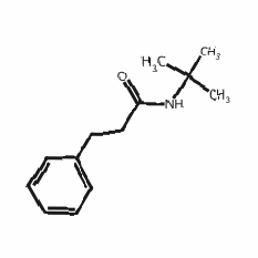 CC(C)(C)NC(=O)CCc1ccccc1